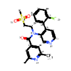 Cc1cc(C(=O)N(CCS(C)(=O)=O)c2cnccc2-c2ccccc2F)cc(C(F)(F)F)n1